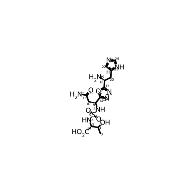 CC(O)[C@H](NS(=O)(=O)N[C@@H](CC(N)=O)c1nnc([C@@H](N)Cc2cnc[nH]2)o1)C(=O)O